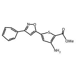 COC(=O)c1sc(-c2cc(-c3ccccc3)no2)cc1N